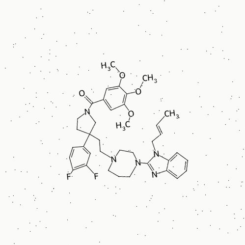 CC=CCn1c(N2CCCN(CCC3(c4ccc(F)c(F)c4)CCN(C(=O)c4cc(OC)c(OC)c(OC)c4)C3)CC2)nc2ccccc21